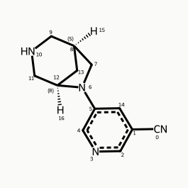 N#Cc1cncc(N2C[C@@H]3CNC[C@H]2C3)c1